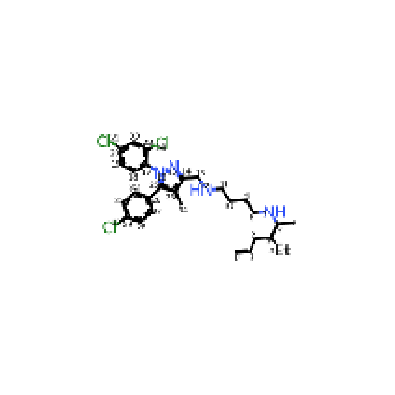 C=CCC(CC)C(C)NCCCCNCc1nn(-c2ccc(Cl)cc2Cl)c(-c2ccc(Cl)cc2)c1C